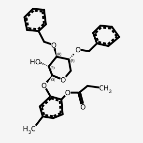 CCC(=O)Oc1ccc(C)cc1O[C@@H]1OC[C@@H](OCc2ccccc2)[C@H](OCc2ccccc2)[C@H]1O